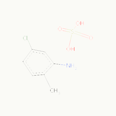 Cc1ccc(Cl)cc1N.O=S(=O)(O)O